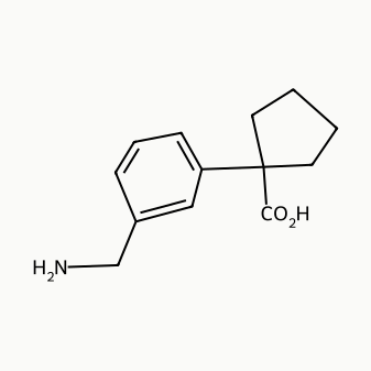 NCc1cccc(C2(C(=O)O)CCCC2)c1